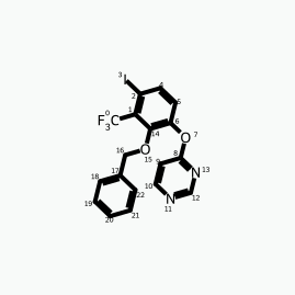 FC(F)(F)c1c(I)ccc(Oc2ccncn2)c1OCc1ccccc1